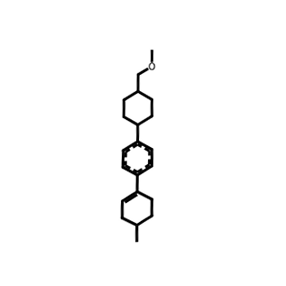 COCC1CCC(c2ccc(C3=CCC(C)CC3)cc2)CC1